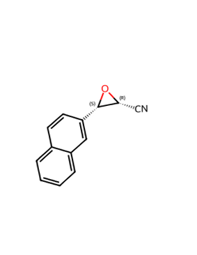 N#C[C@H]1O[C@H]1c1ccc2ccccc2c1